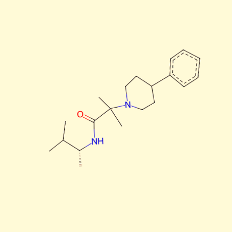 CC(C)[C@@H](C)NC(=O)C(C)(C)N1CCC(c2ccccc2)CC1